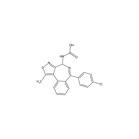 Cc1onc2c1-c1ccccc1C(c1ccc(Cl)cc1)=NC2NC(=O)O